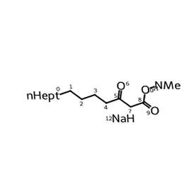 CCCCCCCCCCCC(=O)CC(=O)ONC.[NaH]